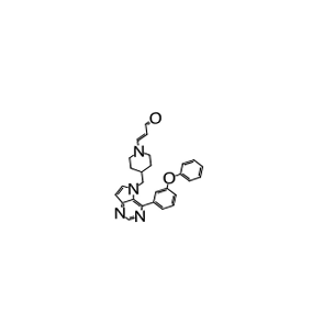 O=CC=CN1CCC(Cn2ccc3ncnc(-c4cccc(Oc5ccccc5)c4)c32)CC1